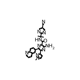 Cn1ccc(-c2nc(N)c(C(=O)NC(C)(C)c3ncc(C#N)cn3)nc2-c2ccc3ncccc3c2)n1